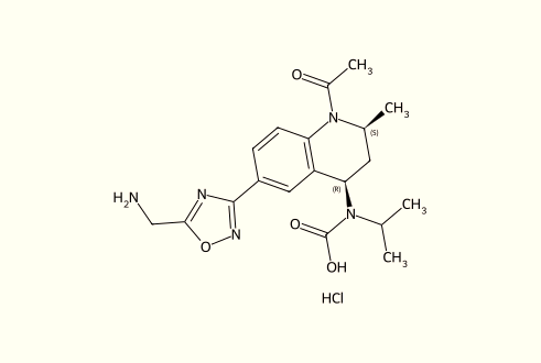 CC(=O)N1c2ccc(-c3noc(CN)n3)cc2[C@H](N(C(=O)O)C(C)C)C[C@@H]1C.Cl